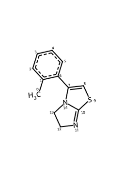 Cc1ccccc1C1=CSC2=NCCN12